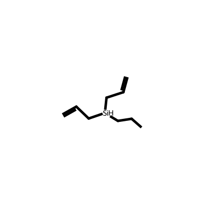 C=CC[SiH](CC=C)CCC